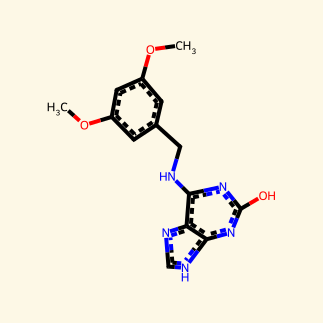 COc1cc(CNc2nc(O)nc3[nH]cnc23)cc(OC)c1